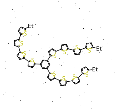 CCc1ccc(-c2ccc(-c3ccc(-c4ccc(-c5cc(-c6ccc(-c7ccc(-c8ccc(-c9ccc(CC)s9)s8)s7)s6)cc(-c6ccc(-c7ccc(-c8ccc(-c9ccc(CC)s9)s8)s7)s6)c5)s4)s3)s2)s1